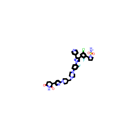 NS(=O)(=O)N1CCCC1c1cc(Cl)cc(-c2cn(-c3ccc(N4CCN(CC5CCN(c6ccc(C7CCC(=O)NC7=O)cn6)CC5)CC4)cc3F)nc2-c2ccncc2)c1F